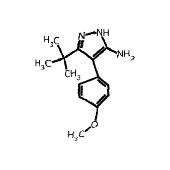 COc1ccc(-c2c(C(C)(C)C)n[nH]c2N)cc1